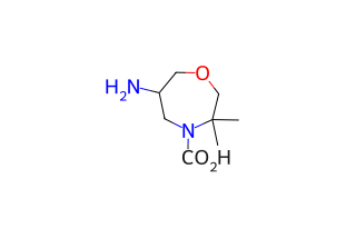 CC1(C)COCC(N)CN1C(=O)O